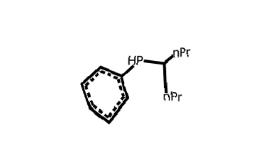 CCCC(CCC)Pc1ccccc1